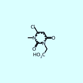 Cn1c(Cl)cc(=O)n(CC(=O)O)c1=O